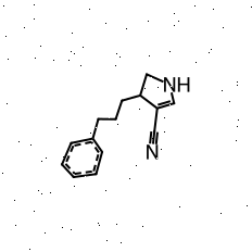 N#CC1=CNCC1CCCc1ccccc1